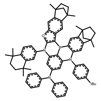 CC(C)(C)c1ccc(N2c3cc4c(cc3B3c5c2cc(N(c2ccccc2)c2ccccc2)cc5N(c2ccc5c(c2)C(C)(C)CCC5(C)C)c2oc5cc6c(cc5c23)C2(C)CCC6(C)C2)C2(C)CCC4(C)C2)cc1